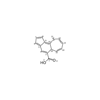 O=C(O)C1=CC2=CC=CC2=C2SC=CC=CC12